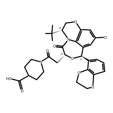 CC(C)(C)[C@@H]1COc2cc(Cl)cc3c2N1C(=O)[C@@H](CC(=O)N1CCC(C(=O)O)CC1)O[C@@H]3c1cccc2c1OCCO2